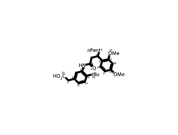 CCCCCC(CC(=O)Nc1cc(CC(=O)O)ccc1C(C)(C)C)c1ccc(OC)cc1OC